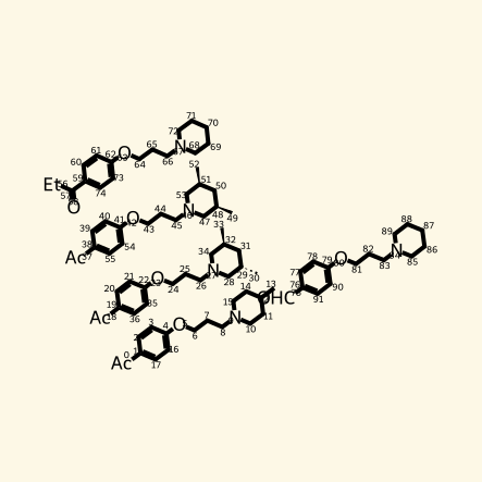 CC(=O)c1ccc(OCCCN2CCC(C)CC2)cc1.CC(=O)c1ccc(OCCCN2C[C@@H](C)C[C@H](C)C2)cc1.CC(=O)c1ccc(OCCCN2C[C@H](C)C[C@H](C)C2)cc1.CCC(=O)c1ccc(OCCCN2CCCCC2)cc1.O=Cc1ccc(OCCCN2CCCCC2)cc1